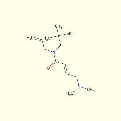 C=CCN(CC(C)(C)CCC)C(=O)/C=C/CN(C)C